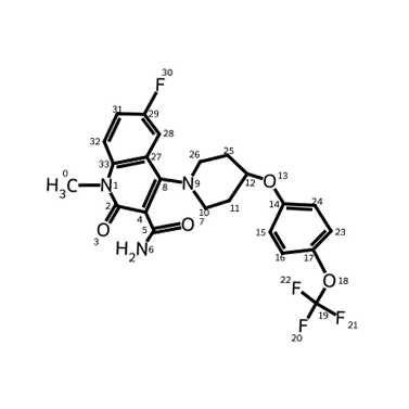 Cn1c(=O)c(C(N)=O)c(N2CCC(Oc3ccc(OC(F)(F)F)cc3)CC2)c2cc(F)ccc21